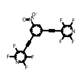 O=[N+]([O-])c1cc(C#Cc2c(F)c(F)nc(F)c2F)cc(C#Cc2c(F)c(F)nc(F)c2F)c1